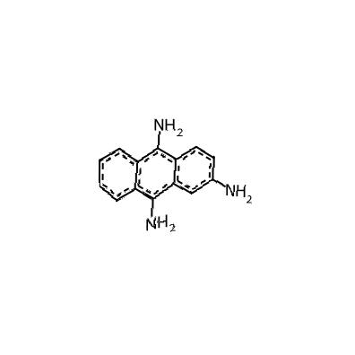 Nc1ccc2c(N)c3ccccc3c(N)c2c1